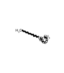 CCCCCCCCCCCCCCOOP1(=O)OOOOOCC(C)O1